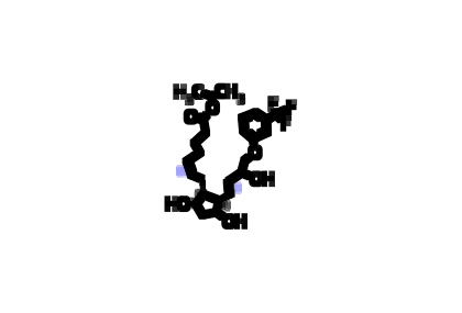 CC(C)OC(=O)CCC/C=C\C[C@H]1[C@@H](O)CC(O)[C@@H]1/C=C/C(O)COc1cccc(C(F)(F)F)c1